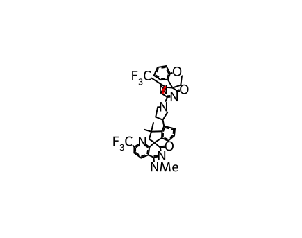 CNC1=NC(=O)C2(CC(C)(C)c3c(C4CCN(C5=NC(=O)C6(CCOc7ccccc76)c6nc(C(F)(F)F)ccc65)C4)cccc32)c2nc(C(F)(F)F)ccc21